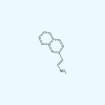 O=[N+]([O-])C=Cc1ccc2ccccc2c1